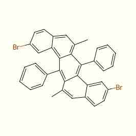 Cc1cc2ccc(Br)cc2c2c(-c3ccccc3)c3c(C)cc4ccc(Br)cc4c3c(-c3ccccc3)c12